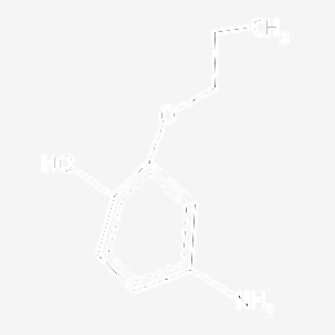 CCCOc1cc(N)ccc1O